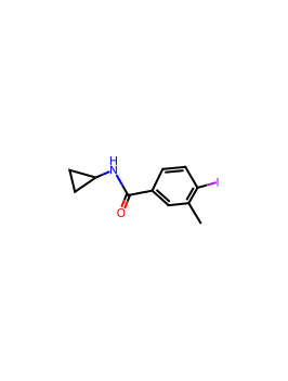 Cc1cc(C(=O)NC2CC2)ccc1I